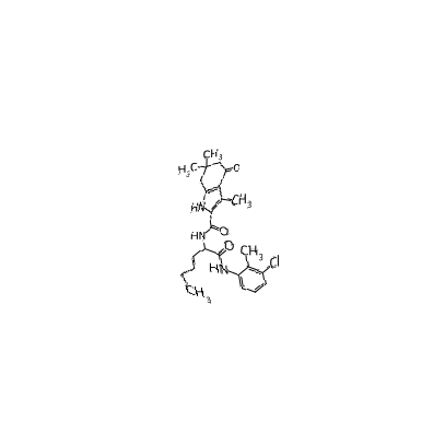 CCCCC(NC(=O)c1[nH]c2c(c1C)C(=O)CC(C)(C)C2)C(=O)Nc1cccc(Cl)c1C